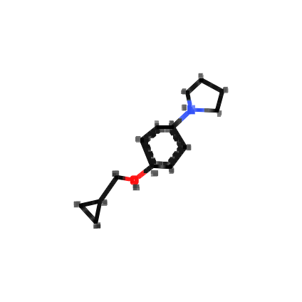 c1cc(N2CCCC2)ccc1OCC1CC1